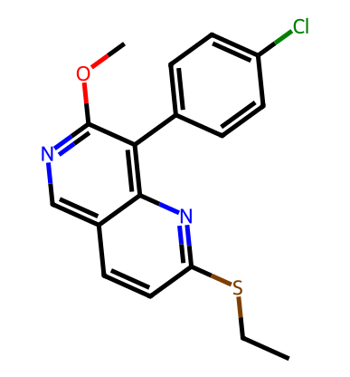 CCSc1ccc2cnc(OC)c(-c3ccc(Cl)cc3)c2n1